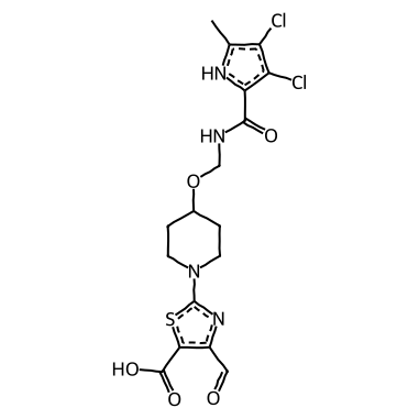 Cc1[nH]c(C(=O)NCOC2CCN(c3nc(C=O)c(C(=O)O)s3)CC2)c(Cl)c1Cl